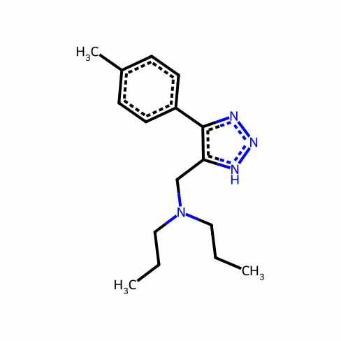 CCCN(CCC)Cc1[nH]nnc1-c1ccc(C)cc1